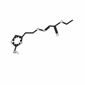 CCOC(=O)C=NOCCc1csc(N)n1